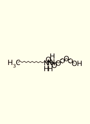 CCCCCCCCCCCCCCNC(=O)NNC(=O)COc1ccc(Oc2ccc(O)cc2)cc1